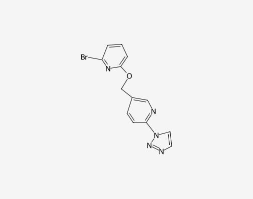 Brc1cccc(OCc2ccc(-n3ccnn3)nc2)n1